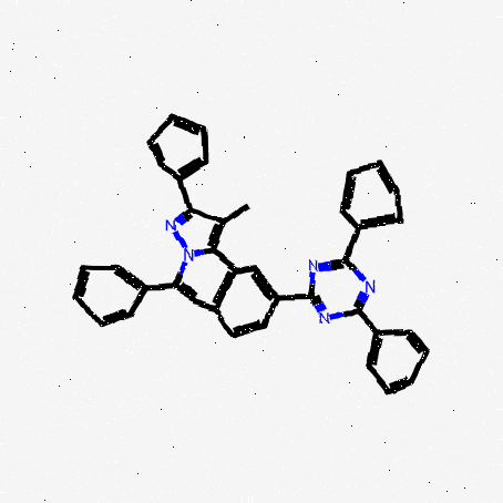 Cc1c(-c2ccccc2)nn2c(-c3ccccc3)cc3ccc(-c4nc(-c5ccccc5)nc(-c5ccccc5)n4)cc3c12